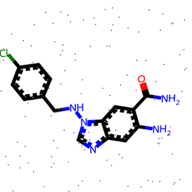 NC(=O)c1cc2c(cc1N)ncn2NCc1ccc(Cl)cc1